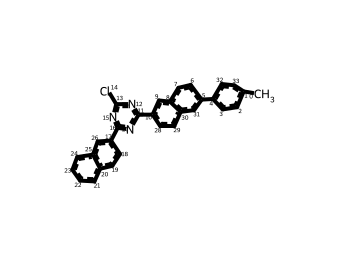 Cc1ccc(-c2ccc3cc(-c4nc(Cl)nc(-c5ccc6ccccc6c5)n4)ccc3c2)cc1